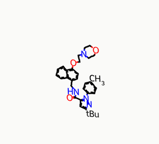 Cc1ccc(-n2nc(C(C)(C)C)cc2C(=O)NCc2ccc(OCCN3CCOCC3)c3ccccc23)cc1